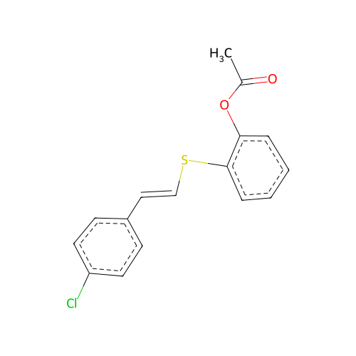 CC(=O)Oc1ccccc1SC=Cc1ccc(Cl)cc1